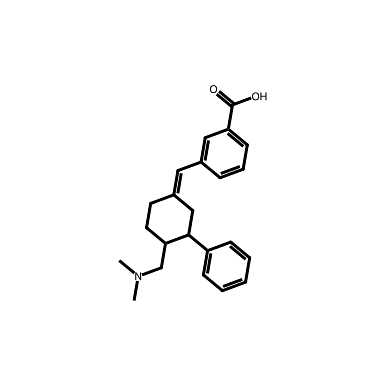 CN(C)CC1CCC(=Cc2cccc(C(=O)O)c2)CC1c1ccccc1